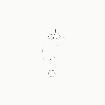 CO[C@@H]1COP(=O)(S)O[C@@H]2[C@@H](COP(=O)(S)O[C@@H](n3cnc4c(=O)[nH]c(N)nc43)[C@@H]1O)C[C@@H](Nc1ccncn1)[C@@H]2F